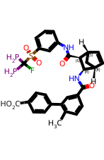 Cc1ccc(C(=O)N[C@H]2[C@@H](C(=O)Nc3cccc(S(=O)(=O)C(F)(P)P)c3)[C@@H]3C=C[C@H]2C3)cc1-c1ccc(C(=O)O)cc1